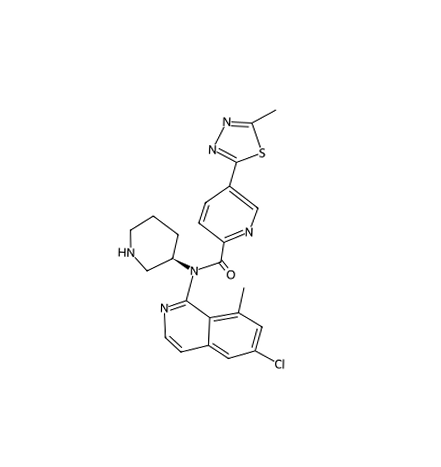 Cc1nnc(-c2ccc(C(=O)N(c3nccc4cc(Cl)cc(C)c34)[C@@H]3CCCNC3)nc2)s1